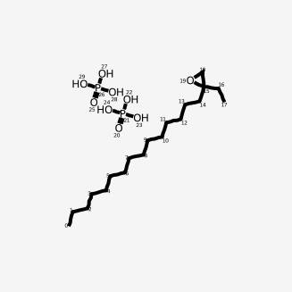 CCCCCCCCCCCCCCCC1(CC)CO1.O=P(O)(O)O.O=P(O)(O)O